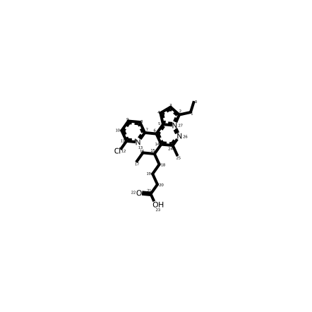 CCc1ccc2c(-c3cccc(Cl)n3)c(C(CC)CCCC(=O)O)c(C)nn12